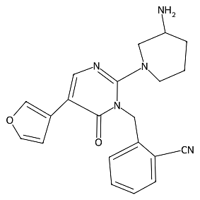 N#Cc1ccccc1Cn1c(N2CCCC(N)C2)ncc(-c2ccoc2)c1=O